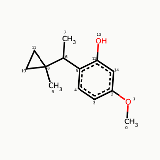 COc1ccc(C(C)C2(C)CC2)c(O)c1